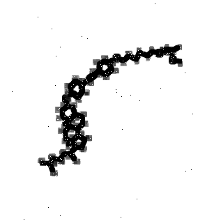 CO[SiH](C)COCCCCCCOc1ccc(C#Cc2ccc(OC3CCC4(C)C(CCC5C4CCC4(C)C(C(C)CCCC(C)C)CCC54)C3)cc2)cc1